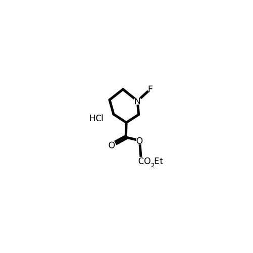 CCOC(=O)OC(=O)C1CCCN(F)C1.Cl